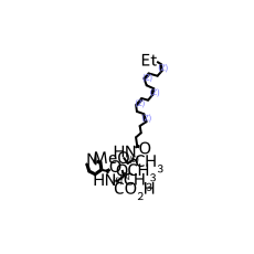 CC/C=C\C/C=C\C/C=C\C/C=C\C/C=C\CCCC(=O)N[C@@H](C)C(C)(OC)O[C@H](C)[C@H](NC(=O)c1cccnc1)C(=O)O